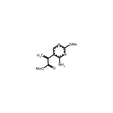 C=C(C(=O)OC)c1cnc(SC)nc1N